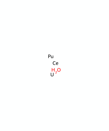 O.[Ce].[Pu].[U]